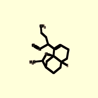 CCCC(N=O)C1=CCCC2(I)CCC3C[C@]12OC3C